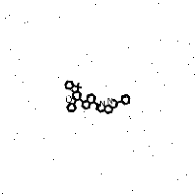 CC1(C)c2ccccc2-c2c1cc(-c1cccc3c(-c4ccc5ccc6cc(-c7ccccc7)cnc6c5n4)cccc13)c1c2oc2ccccc21